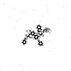 C[Si](C)(C)CCOC(=O)[C@H](Cc1cc(-c2ccc([N+](=O)[O-])c(C[C@H](N)C(=O)OCc3ccccc3)c2)ccc1OCc1ccccc1)NC(=O)OCc1ccccc1